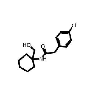 O=C(Cc1ccc(Cl)cc1)NC1(CO)CCCCC1